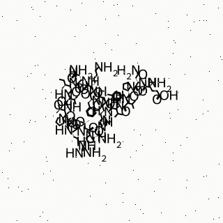 CC[C@H](C)[C@H](NC(=O)[C@H](CC(N)=O)NC(=O)[C@H](CCCCN)NC(=O)[C@H](Cc1ccccc1)NC(=O)[C@H](Cc1ccccc1)NC(=O)[C@H](Cc1c[nH]cn1)NC(=O)[C@@H](NC(=O)[C@@H](NC(=O)[C@@H]1CCCN1C(=O)[C@H](CC(N)=O)NC(=O)[C@@H](N)CCC(=O)O)C(C)C)C(C)C)C(=O)N[C@H](C(=O)N[C@H](C(=O)N1CCC[C@H]1C(=O)N[C@@H](CCCNC(=N)N)C(=O)N[C@H](C(=O)N1CCC[C@H]1C(N)=O)[C@@H](C)O)[C@@H](C)O)C(C)C